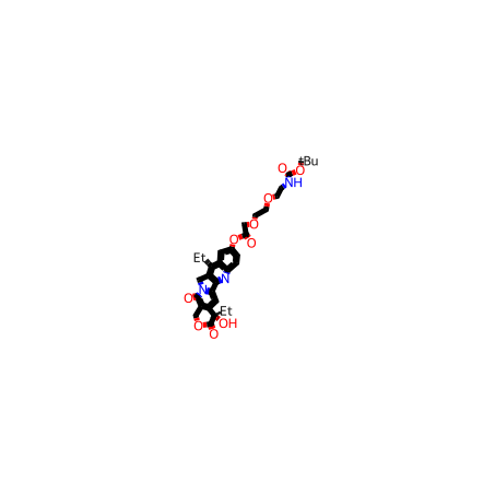 CCc1c2c(nc3ccc(OC(=O)COCCOCCNC(=O)OC(C)(C)C)cc13)-c1cc3c(c(=O)n1C2)COC(=O)[C@]3(O)CC